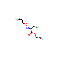 C=CCON=C(CBr)C(=O)OCC